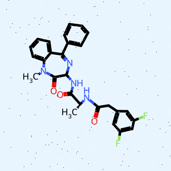 C[C@H](NC(=O)Cc1cc(F)cc(F)c1)C(=O)NC1N=C(c2ccccc2)c2ccccc2N(C)C1=O